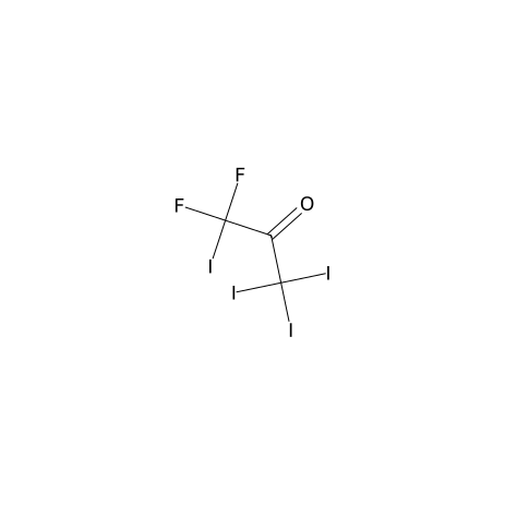 O=C(C(F)(F)I)C(I)(I)I